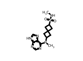 CNS(=O)(=O)C1CC2(CC(N(C)c3ncnc4[nH]cnc34)C2)C1